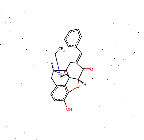 O=C1/C(=C/c2ccccc2)C[C@@]2(O)[C@H]3Cc4ccc(O)c5c4[C@@]2(CCN3CC(F)(F)F)[C@H]1O5